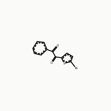 O=C(C(=O)c1ccc(Br)s1)c1ccccc1